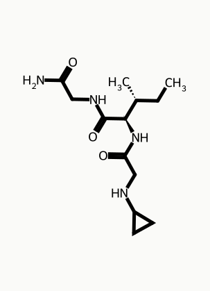 CC[C@@H](C)[C@@H](NC(=O)CNC1CC1)C(=O)NCC(N)=O